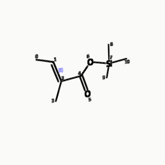 C/C=C(\C)C(=O)O[Si](C)(C)C